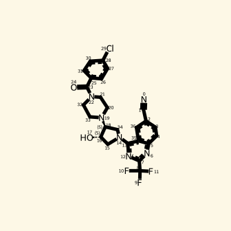 N#Cc1ccc2nc(C(F)(F)F)nc(N3C[C@H](O)[C@@H](N4CCN(C(=O)c5ccc(Cl)cc5)CC4)C3)c2c1